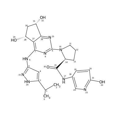 CC(C)c1cc(Nc2nc(N3CCC[C@H]3C(=O)Nc3ccc(O)nc3)nc3c2[C@H](O)C[C@@H]3O)n[nH]1